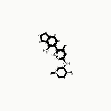 Cc1cc(N[C@@H]2CN(C)CC[C@@H]2C)nnc1-c1ccc2c(c1O)CCC2